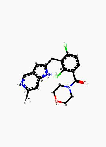 O=C(c1ccc(Cl)c(Cc2cc3cnc(C(F)(F)F)cc3[nH]2)c1Cl)N1CCOCC1